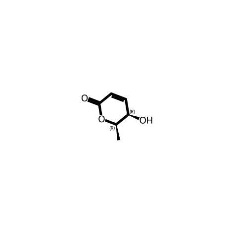 C[C@H]1OC(=O)C=C[C@H]1O